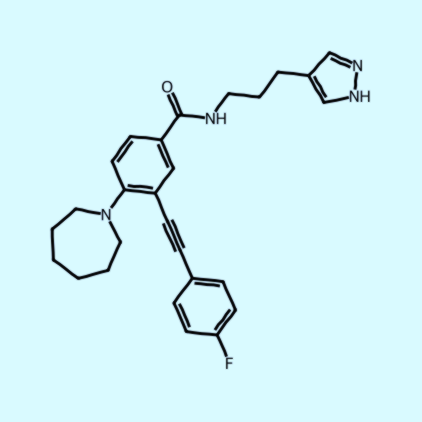 O=C(NCCCc1cn[nH]c1)c1ccc(N2CCCCCC2)c(C#Cc2ccc(F)cc2)c1